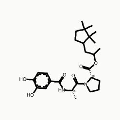 CC(CC1CCC(C)(C)C1(C)C)OC(=O)[C@@H]1CCCN1C(=O)[C@H](C)NC(=O)c1ccc(O)c(O)c1